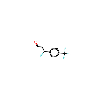 O=CCC(F)c1ccc(C(F)(F)F)cc1